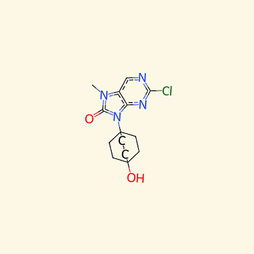 Cn1c(=O)n(C23CCC(O)(CC2)CC3)c2nc(Cl)ncc21